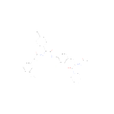 CCC(=O)N[C@@H](C(=O)N1CCN(C)CC1)[C@@H](C)c1ccc(NC(=O)[C@@H](NC(=O)C(F)(F)c2cccc(C#N)c2)C2CCC(=C(F)F)CC2)c(F)c1